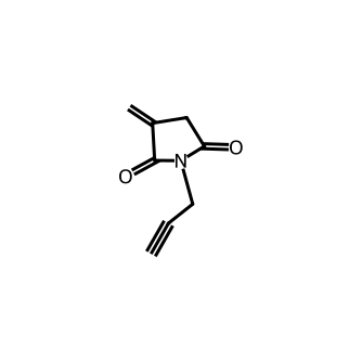 C#CCN1C(=O)CC(=C)C1=O